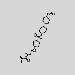 C=C(C)C(=O)OCCO[C@H]1CC[C@H](C(=O)OC2CCC([C@H]3CC[C@H](CCCC)CC3)CC2)CC1